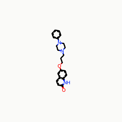 O=c1ccc2cc(OCCCN3CCN(c4ccccc4)CC3)ccc2[nH]1